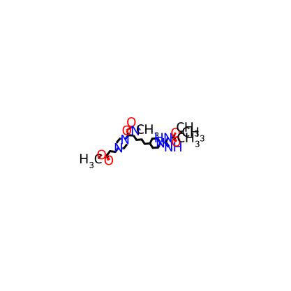 COC(=O)CCN1CCN(C2OC(=O)N(C)C2CCCC2CCN(C(=N)NC(=O)OC(C)(C)C)CC2)CC1